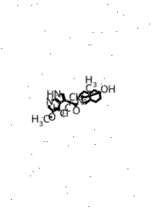 COc1cnc2[nH]cc(C(C)(C)C(=O)N3CC4CCC5(O)CC3CC4(C)C5)c2c1Cl